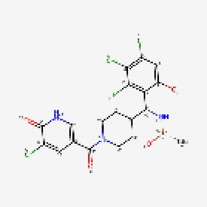 CC(C)(C)[S@+]([O-])N[C@@H](c1c(O)cc(Cl)c(Cl)c1F)C1CCN(C(=O)c2c[nH]c(=O)c(Cl)c2)CC1